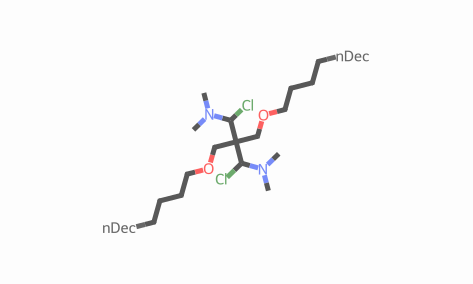 CCCCCCCCCCCCCCOCC(COCCCCCCCCCCCCCC)(C(Cl)N(C)C)C(Cl)N(C)C